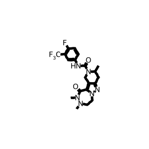 CC1Cc2nn3c(c2CN1C(=O)Nc1ccc(F)c(C(F)(F)F)c1)C(=O)N(C)N(C)CC3